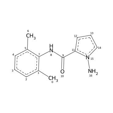 Cc1cccc(C)c1NC(=O)c1cccn1N